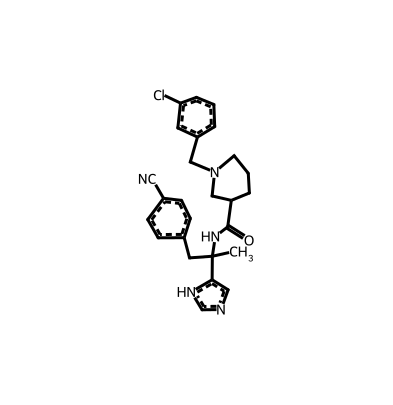 CC(Cc1ccc(C#N)cc1)(NC(=O)C1CCCN(Cc2cccc(Cl)c2)C1)c1cnc[nH]1